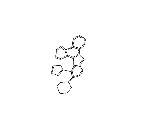 [C]1=c2ccc(=C3CCCCC3)c(C3=CC=CC3)c2-c2c1c1ccccc1c1ccccc21